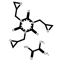 C=C(C)C(=O)O.O=c1n(CC2CO2)c(=O)n(CC2CO2)c(=O)n1CC1CO1